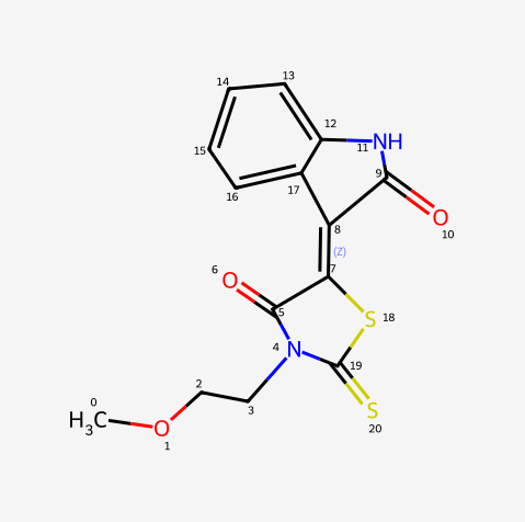 COCCN1C(=O)/C(=C2/C(=O)Nc3ccccc32)SC1=S